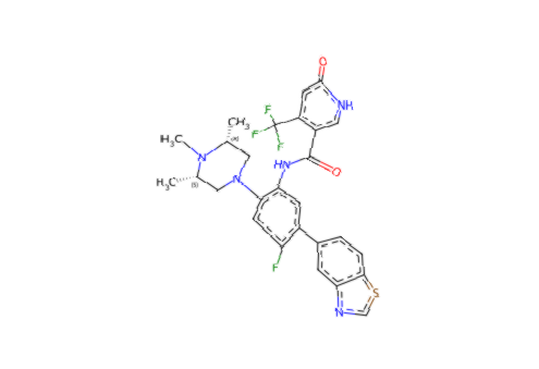 C[C@@H]1CN(c2cc(F)c(-c3ccc4scnc4c3)cc2NC(=O)c2c[nH]c(=O)cc2C(F)(F)F)C[C@H](C)N1C